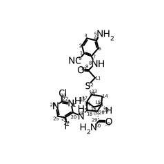 N#Cc1ccc(N)cc1NC(=O)CS[C@@H]1C[C@@H]2C[C@H]1[C@@H](Nc1nc(Cl)ncc1F)[C@H]2C(N)=O